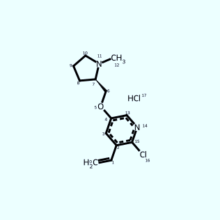 C=Cc1cc(OC[C@H]2CCCN2C)cnc1Cl.Cl